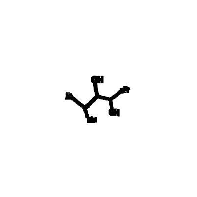 CCCC(O)C(O)C(CC)C(C)CC